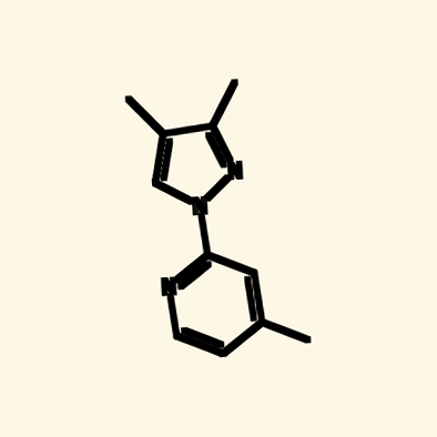 Cc1ccnc(-n2cc(C)c(C)n2)c1